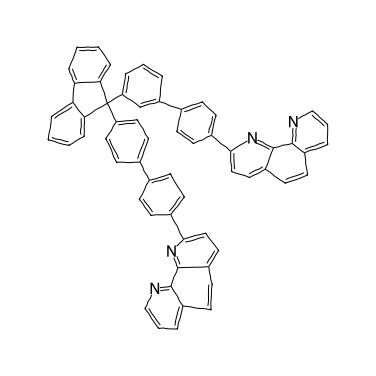 c1cc(-c2ccc(-c3ccc4ccc5cccnc5c4n3)cc2)cc(C2(c3ccc(-c4ccc(-c5ccc6ccc7cccnc7c6n5)cc4)cc3)c3ccccc3-c3ccccc32)c1